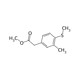 COC(=O)Cc1ccc(SC)c(C)c1